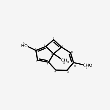 CC12C3=CC1=C(O)C=C2CCC(C=O)=C3